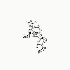 CC(C)(C)ON=c1cc(-c2cc3ccccc3cn2)oc2ccc(N3CCCC3)cc12